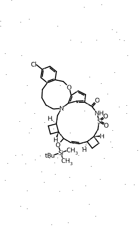 CC(C)(C)[Si](C)(C)OC1/C=C\[C@@H]2CC[C@H]2CS(=O)(=O)NC(=O)c2ccc3c(c2)N(CCCCc2cc(Cl)ccc2CO3)C[C@@H]2CC[C@@H]12